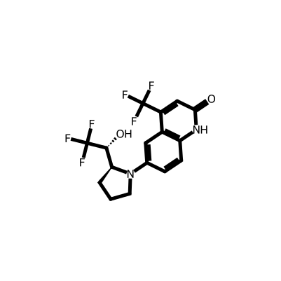 O=c1cc(C(F)(F)F)c2cc(N3CCC[C@H]3[C@@H](O)C(F)(F)F)ccc2[nH]1